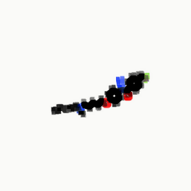 CCCCCN(C)CCCCCOC1CCC(NC(=O)c2ccc(CF)cc2)CC1